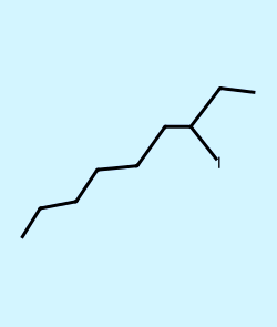 CCCCCCC(I)CC